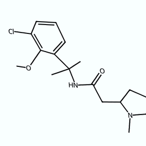 COc1c(Cl)cccc1C(C)(C)NC(=O)CC1CCCN1C